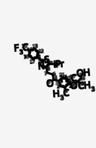 Cc1cc(C(=O)CCc2nc(-c3ccc(C(F)(F)F)cc3)sc2C(C)C)ccc1OC(C)(C)CO